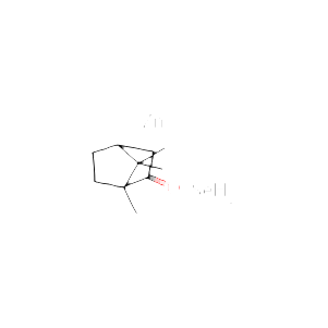 CC12CCC(CC1=O)C2(C)C.[SeH2].[Zn]